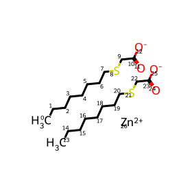 CCCCCCCCSCC(=O)[O-].CCCCCCCCSCC(=O)[O-].[Zn+2]